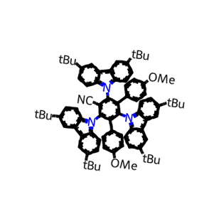 COc1ccc(-c2c(-n3c4ccc(C(C)(C)C)cc4c4cc(C(C)(C)C)ccc43)c(C#N)c(-n3c4ccc(C(C)(C)C)cc4c4cc(C(C)(C)C)ccc43)c(-c3ccc(OC)cc3)c2-n2c3ccc(C(C)(C)C)cc3c3cc(C(C)(C)C)ccc32)cc1